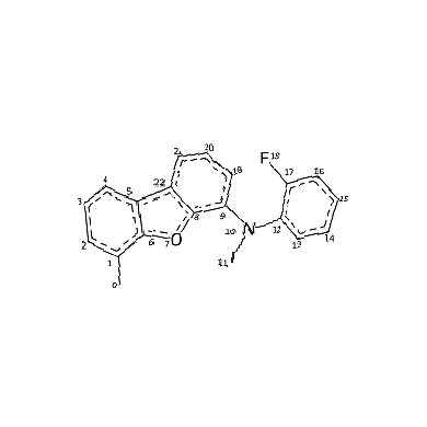 Cc1cccc2c1oc1c(N(I)c3ccccc3F)cccc12